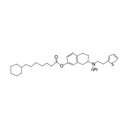 CCCN(CCc1cccs1)C1CCc2ccc(OC(=O)CCCCCCC3CCCCC3)cc2C1